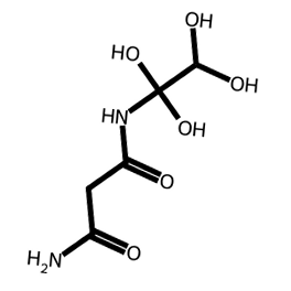 NC(=O)CC(=O)NC(O)(O)C(O)O